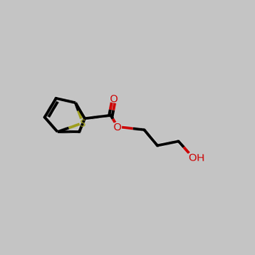 O=C(OCCCO)C1CC2C=CC1S2